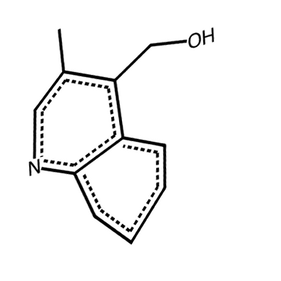 Cc1cnc2ccccc2c1CO